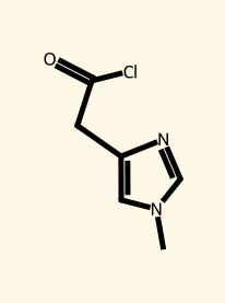 Cn1cnc(CC(=O)Cl)c1